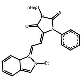 CCCCCCCN1C(=O)C(=CC=S2C3C=CC=CC3=CN2CC)N(c2ccccc2)C1=S